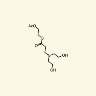 CC(=O)OCCOC(=O)CCN(CCO)CCO